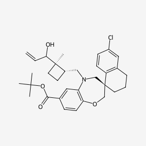 C=CC(O)[C@]1(C)CC[C@H]1CN1C[C@@]2(CCCc3cc(Cl)ccc32)COc2ccc(C(=O)OC(C)(C)C)cc21